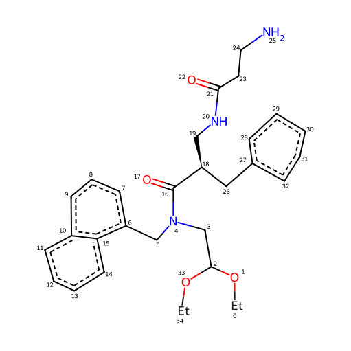 CCOC(CN(Cc1cccc2ccccc12)C(=O)[C@@H](CNC(=O)CCN)Cc1ccccc1)OCC